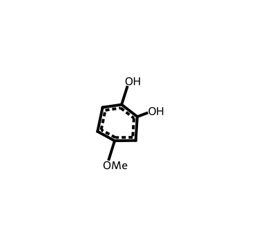 COc1ccc(O)c(O)c1